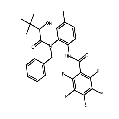 Cc1ccc(NC(=O)c2c(F)c(F)c(F)c(F)c2F)c(N(Cc2ccccc2)C(=O)C(O)C(C)(C)C)c1